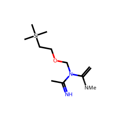 C=C(NC)N(COCC[Si](C)(C)C)C(C)=N